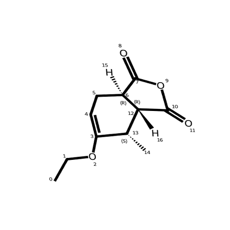 CCOC1=CC[C@H]2C(=O)OC(=O)[C@@H]2[C@@H]1C